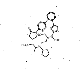 CC(CC(=O)O)[C@H](CC[C@@H](CO)N(C=O)c1nc(-c2ccccc2-c2ccc(N3CCCC3=O)nc2)cs1)C1CCCC1